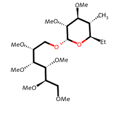 CC[C@H]1O[C@H](OC[C@@H](OC)[C@@H](OC)[C@H](OC)[C@@H](COC)OC)[C@H](OC)[C@@H](OC)[C@@H]1C